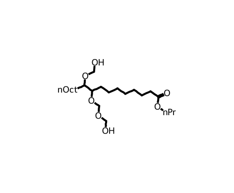 CCCCCCCCC(OCO)C(CCCCCCCC(=O)OCCC)OCOCO